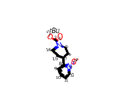 CC(C)(C)OC(=O)N1CCC(c2cccc[n+]2[O-])CC1